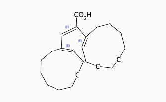 O=C(O)C(=C/C1=C/CCCCCCCC1)/C1=C/CCCCCCCC1